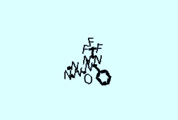 O=C(n1cncn1)n1nc(C(F)(F)F)nc1-c1ccccc1